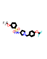 O=S(=O)(N[C@@H]1CCN(Cc2ccc(OC(F)F)cc2)C1)c1cccc(OC(F)(F)F)c1